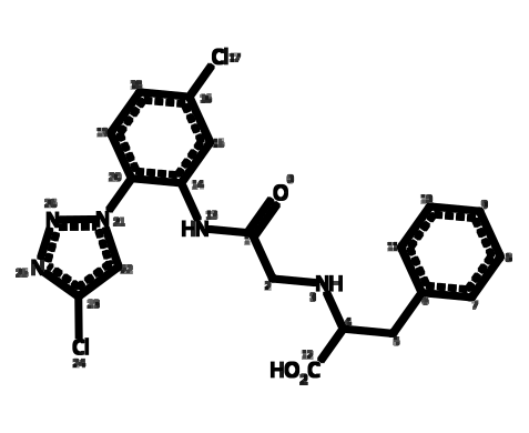 O=C(CNC(Cc1ccccc1)C(=O)O)Nc1cc(Cl)ccc1-n1cc(Cl)nn1